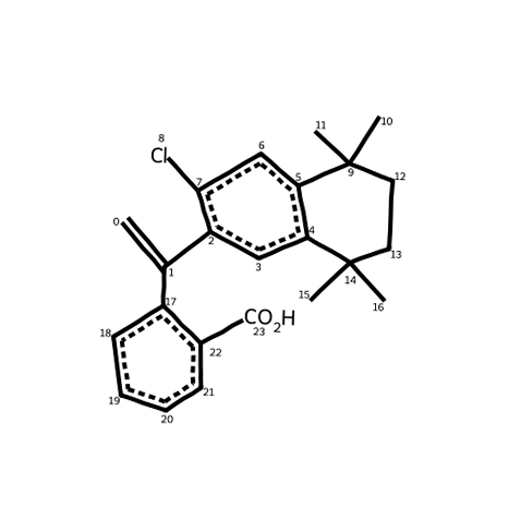 C=C(c1cc2c(cc1Cl)C(C)(C)CCC2(C)C)c1ccccc1C(=O)O